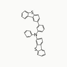 c1ccc(N(c2cccc(-c3ccc4sc5ccccc5c4c3)c2)c2ccc3c(c2)sc2ccccc23)cc1